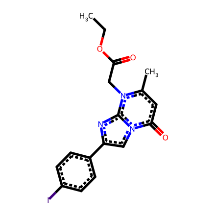 CCOC(=O)Cn1c(C)cc(=O)n2cc(-c3ccc(I)cc3)nc12